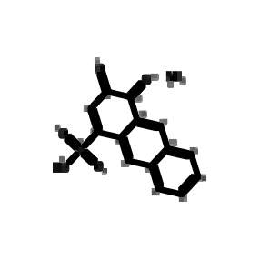 N.O=C1C=C(S(=O)(=O)O)c2cc3ccccc3cc2C1=O